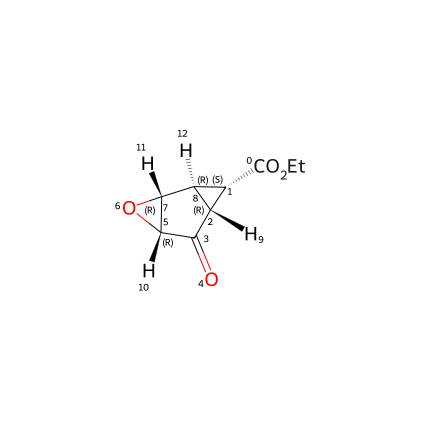 CCOC(=O)[C@@H]1[C@@H]2C(=O)[C@@H]3O[C@@H]3[C@@H]12